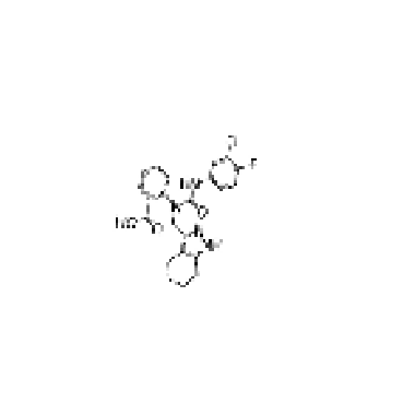 O=C(O)c1ccccc1N(Cc1n[nH]c2c1CCCC2)C(=O)Nc1ccc(F)c(Cl)c1